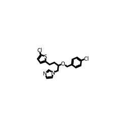 Clc1ccc(COC(CCc2ccc(Cl)s2)Cn2ccnc2)cc1